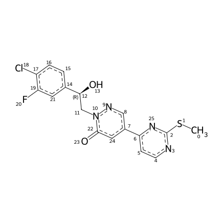 CSc1nccc(-c2cnn(C[C@H](O)c3ccc(Cl)c(F)c3)c(=O)c2)n1